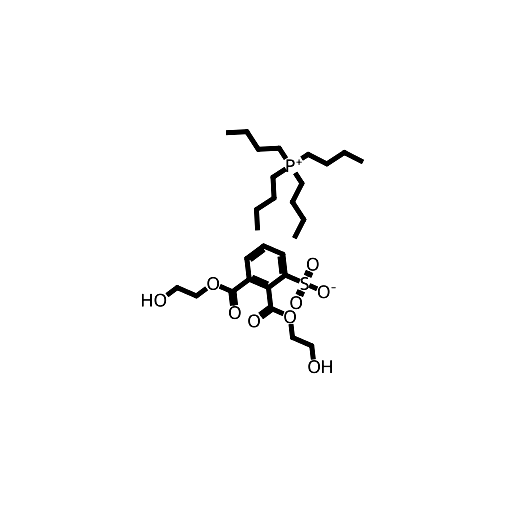 CCCC[P+](CCCC)(CCCC)CCCC.O=C(OCCO)c1cccc(S(=O)(=O)[O-])c1C(=O)OCCO